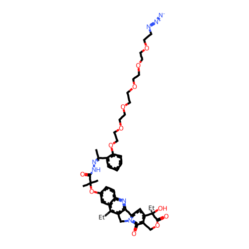 CCc1c2c(nc3ccc(OC(C)(C)C(=O)N/N=C(/C)c4ccccc4OCCOCCOCCOCCOCCOCCN=[N+]=[N-])cc13)-c1cc3c(c(=O)n1C2)COC(=O)[C@]3(O)CC